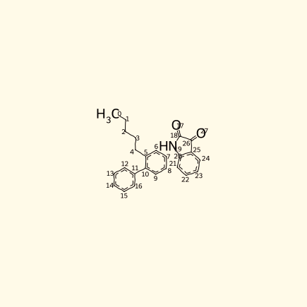 CCCCCc1ccccc1-c1ccccc1.O=C1Nc2ccccc2C1=O